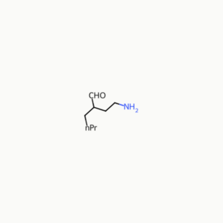 CCCCC(C=O)CCN